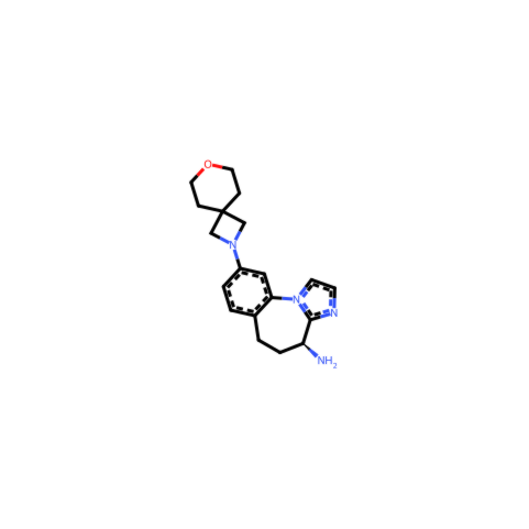 N[C@H]1CCc2ccc(N3CC4(CCOCC4)C3)cc2-n2ccnc21